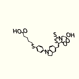 O=C(O)CCCCSc1ccc(N2CCc3cc(/C=C4\SC(=S)N(CC(=O)O)C4=O)ccc32)cc1